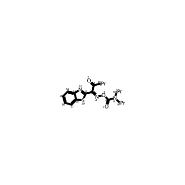 CC(C)C(=O)/C(=N\OC(=O)N(C(C)C)C(C)C)c1nc2ccccc2s1